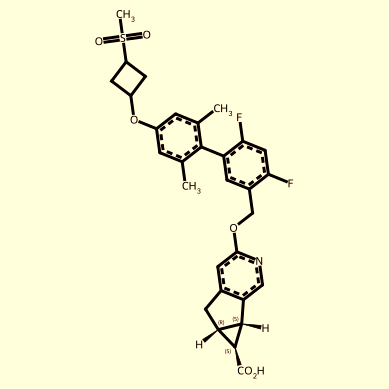 Cc1cc(OC2CC(S(C)(=O)=O)C2)cc(C)c1-c1cc(COc2cc3c(cn2)[C@H]2[C@@H](C3)[C@@H]2C(=O)O)c(F)cc1F